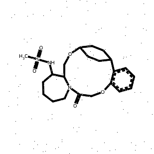 CS(=O)(=O)NC1CCCCN2C(=O)COc3ccccc3C3CCC(CC3)OCC12